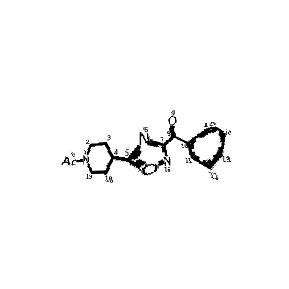 CC(=O)N1CCC(c2nc(C(=O)c3ccccc3)no2)CC1